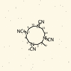 CC1CN(C#N)CCN(C#N)CCN(C#N)CCN1C#N